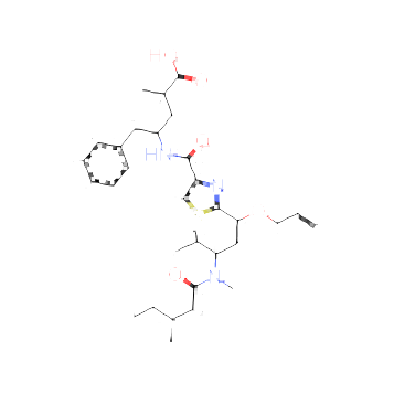 C=CCOC(CC(C(C)C)N(C)C(=O)C[C@@H](C)CC)c1nc(C(=O)NC(Cc2ccccc2)CC(C)C(=O)O)cs1